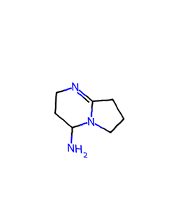 NC1CCN=C2CCCN21